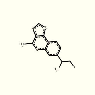 CC(CF)c1ccc2c(c1)nc(N)c1ncsc12